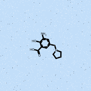 Nc1cc(CN2CCCC2)cc(C(=O)O)c1O